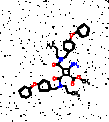 CCCN(Cc1ccc(Oc2ccccc2)cc1)C(=O)[C@H]1[C@@H](C(=O)OC)[C@H](N)[C@@H]1C(=O)N(CCC)Cc1ccc(Oc2ccccc2)cc1